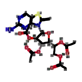 C=C1Sc2cnc(N)nc2N1[C@@H]1O[C@H](C(COC(C)=O)OC(C)=O)[C@H](OC(C)=O)[C@H]1OC(C)=O